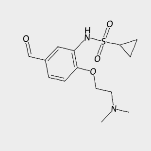 CN(C)CCOc1ccc(C=O)cc1NS(=O)(=O)C1CC1